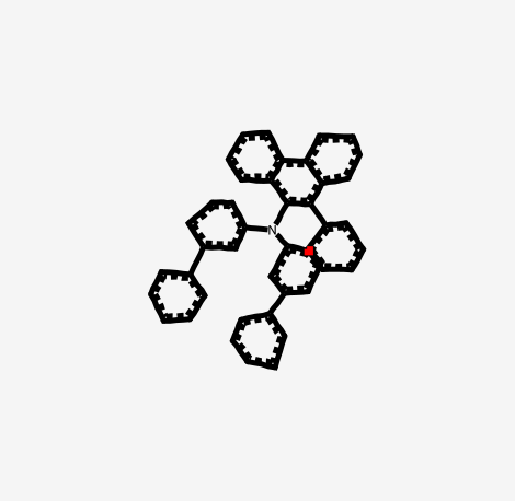 c1ccc(-c2cccc(N(c3cccc(-c4ccccc4)c3)c3c(-c4ccccc4)c4ccccc4c4ccccc34)c2)cc1